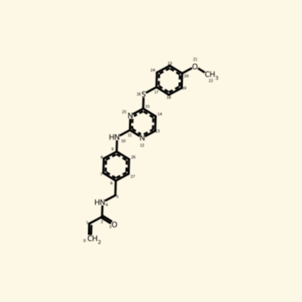 C=CC(=O)NCc1ccc(Nc2nccc(Sc3ccc(OC)cc3)n2)cc1